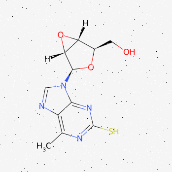 Cc1nc(S)nc2c1ncn2[C@@H]1O[C@H](CO)[C@H]2O[C@H]21